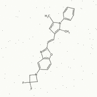 Cc1cc(/C=C/c2nc3cc(N4CC(F)(F)C4)ccc3o2)c(C)n1-c1ccccc1